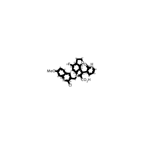 COc1ccc2cc(Cn3c(C(=O)O)c(-c4ccc[nH]c4=O)c4c5c(c(F)cc43)CCO5)c(Cl)nc2c1